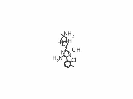 Cc1cccc(-c2ncc(N3C[C@@H]4CC(C)(N)C[C@@H]4C3)nc2N)c1Cl.Cl